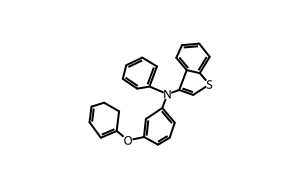 C1=CCCC(Oc2cccc(N(c3ccccc3)c3csc4ccccc34)c2)=C1